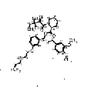 C=CCNCCOc1cccc([C@@H](CCc2ccc(OC)c(OC)c2)OC(=O)[C@@H]2CCCCN2C(=O)C(=O)C(C)(C)CC)c1